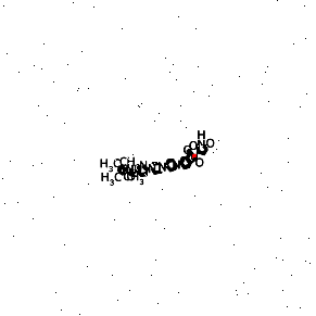 CC1(C)CC(C)(C)C1NC(=O)c1ccc(N2CCN(C3CCN(c4ccc5c(c4)C(=O)N(C4CCC(=O)NC4=O)C5=O)CC3)CC2)nc1